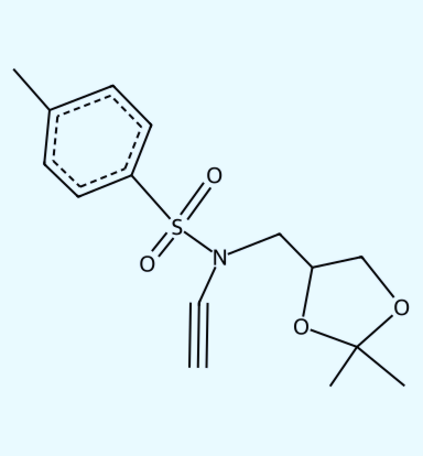 C#CN(CC1COC(C)(C)O1)S(=O)(=O)c1ccc(C)cc1